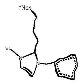 CCCCCCCCCCCCC1N(CC)C=CN1c1ccccc1